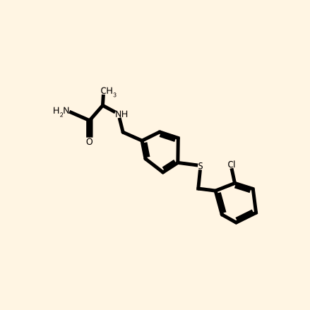 CC(NCc1ccc(SCc2ccccc2Cl)cc1)C(N)=O